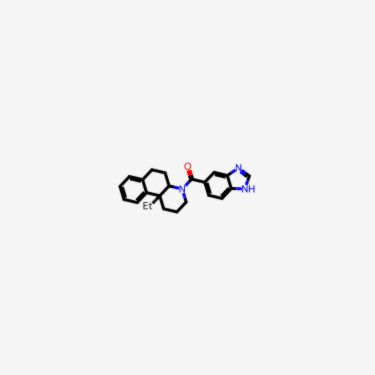 CCC12CCCN(C(=O)c3ccc4[nH]cnc4c3)C1CCc1ccccc12